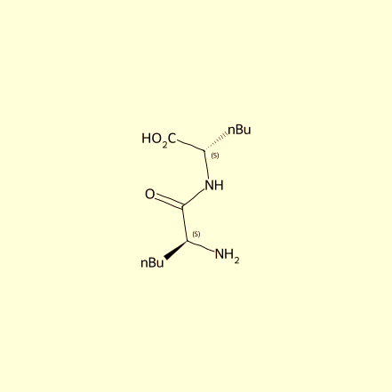 CCCC[C@H](NC(=O)[C@@H](N)CCCC)C(=O)O